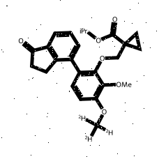 [2H]C([2H])([2H])Oc1ccc(-c2cccc3c2CCC3=O)c(OCC2(C(=O)OC(C)C)CC2)c1OC